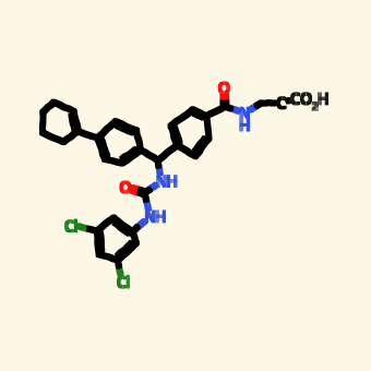 O=C(O)CCNC(=O)c1ccc(C(NC(=O)Nc2cc(Cl)cc(Cl)c2)c2ccc(C3=CCCCC3)cc2)cc1